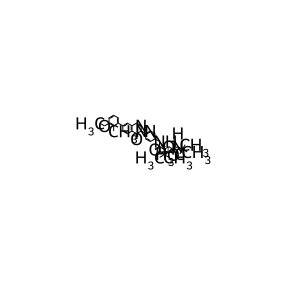 COc1cccc(-c2ccc3c(=O)n(-c4ccc(NC(=O)[C@@H](OC(=O)NC(C)(C)C)C(C)C)cn4)ncc3c2)c1C